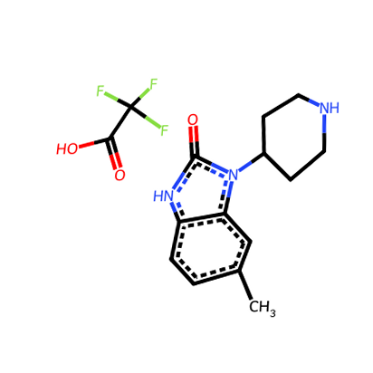 Cc1ccc2[nH]c(=O)n(C3CCNCC3)c2c1.O=C(O)C(F)(F)F